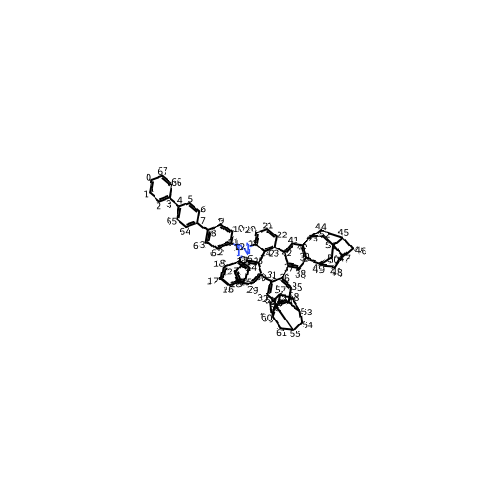 c1ccc(-c2ccc(-c3ccc(N(c4ccccc4)c4cccc5c4-c4ccccc4-c4cc6c(cc4-c4cc7c(cc4-5)C4CC5CC8CC7CC85C4)C4CC5CC(C4)CC6C5)cc3)cc2)cc1